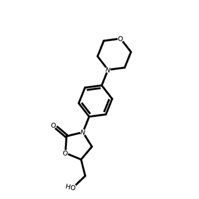 O=C1OC(CO)CN1c1ccc(N2CCOCC2)cc1